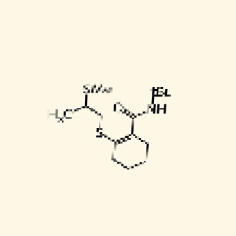 CSC(C)CSC1=C(C(=O)NC(C)(C)C)CCCC1